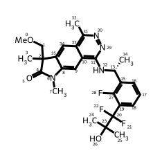 COCC1(C)C(=O)N(C)c2cc3c(N[C@H](C)c4cccc(C(F)(F)C(C)(C)O)c4F)nnc(C)c3cc21